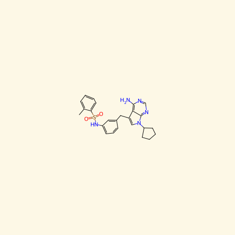 Cc1ccccc1S(=O)(=O)Nc1cccc(Cc2cn(C3CCCC3)c3ncnc(N)c23)c1